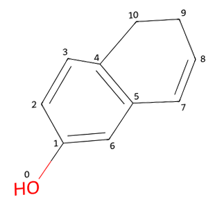 Oc1ccc2c(c1)C=CCC2